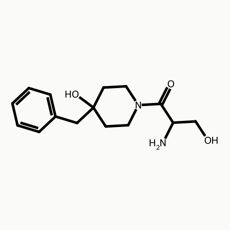 NC(CO)C(=O)N1CCC(O)(Cc2ccccc2)CC1